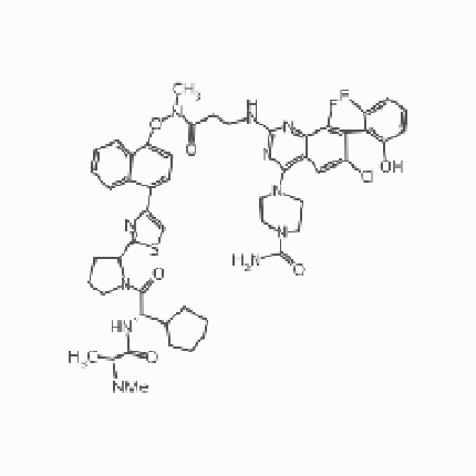 CN[C@@H](C)C(=O)N[C@H](C(=O)N1CCC[C@H]1c1nc(-c2ccc(ON(C)C(=O)CCNc3nc(N4CCN(C(N)=O)CC4)c4cc(Cl)c(-c5c(O)cccc5F)c(F)c4n3)c3ccccc23)cs1)C1CCCCC1